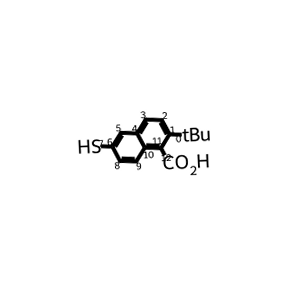 CC(C)(C)c1ccc2cc(S)ccc2c1C(=O)O